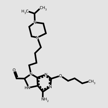 CCCCOc1nc(N)c2c(n1)N(CCCCN1CCN(C(C)C)CC1)C(C=O)N2